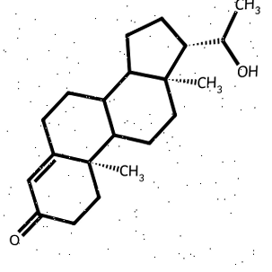 CC(O)[C@H]1CCC2C3CCC4=CC(=O)CC[C@]4(C)C3CC[C@@]21C